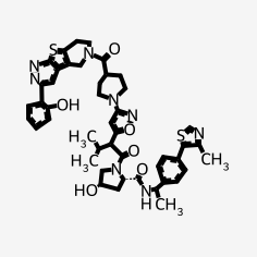 Cc1ncsc1-c1ccc(C(C)NC(=O)[C@@H]2C[C@@H](O)CN2C(=O)C(c2cc(N3CCC(C(=O)N4CCc5sc6nnc(-c7ccccc7O)cc6c5C4)CC3)no2)C(C)C)cc1